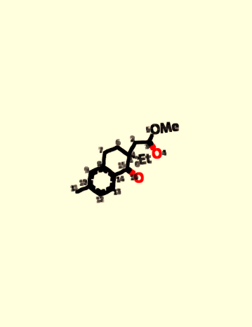 CC[C@@]1(CC(=O)OC)CCc2cc(C)ccc2C1=O